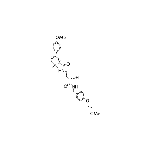 COCCOc1ccc(CNC(=O)C(O)CCNC(=O)C2O[C@H](c3ccc(OC)cc3)OCC2(C)C)cc1